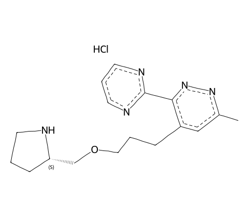 Cc1cc(CCCOC[C@@H]2CCCN2)c(-c2ncccn2)nn1.Cl